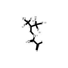 C=C(C)C(=O)OCC(C(F)(F)F)C(F)(F)F